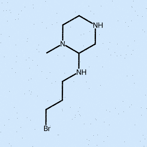 CN1CCNCC1NCCCBr